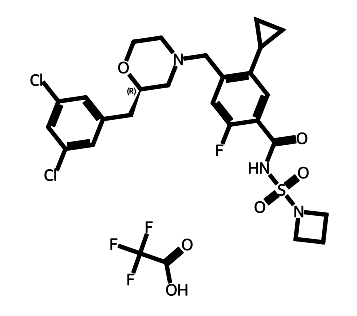 O=C(NS(=O)(=O)N1CCC1)c1cc(C2CC2)c(CN2CCO[C@H](Cc3cc(Cl)cc(Cl)c3)C2)cc1F.O=C(O)C(F)(F)F